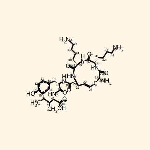 CCC(C)[C@H](NC(=O)[C@H](Cc1ccc(O)cc1)NC(=O)[C@@H]1C/C=C/C[C@H](N)C(=O)N[C@@H](CCCCN)C(=O)N[C@@H](CCCCN)C(=O)N1)C(=O)O